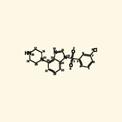 O=S(=O)(c1cccc(Cl)c1)n1cnc2c(N3CCNCC3)cccc21